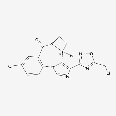 O=C1c2cc(Cl)ccc2-n2cnc(-c3noc(CCl)n3)c2[C@@H]2CCN12